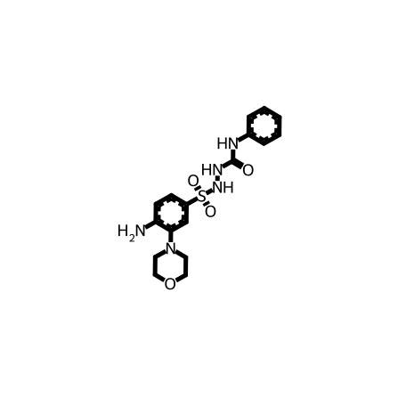 Nc1ccc(S(=O)(=O)NNC(=O)Nc2ccccc2)cc1N1CCOCC1